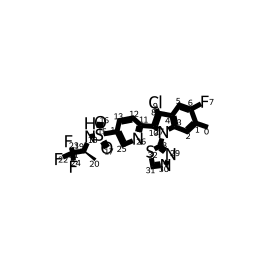 Cc1cc2c(cc1F)c(Cl)c(-c1ccc(S(=O)(=O)N[C@@H](C)C(F)(F)F)cn1)n2-c1nncs1